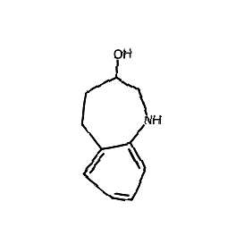 OC1CCc2ccccc2NC1